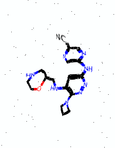 N#Cc1cnc(Nc2cc(NCC3CNCCO3)c(N3CCC3)nn2)cn1